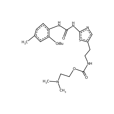 Cc1ccc(NC(=O)Nc2ncc(CCNC(=O)OCCN(C)C)s2)c(OCC(C)C)c1